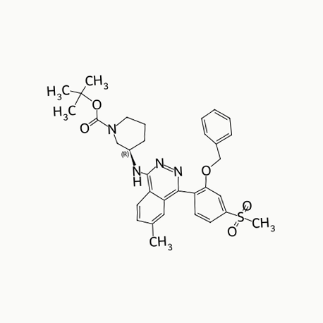 Cc1ccc2c(N[C@@H]3CCCN(C(=O)OC(C)(C)C)C3)nnc(-c3ccc(S(C)(=O)=O)cc3OCc3ccccc3)c2c1